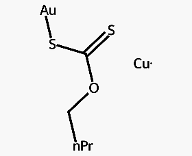 CCCCOC(=S)[S][Au].[Cu]